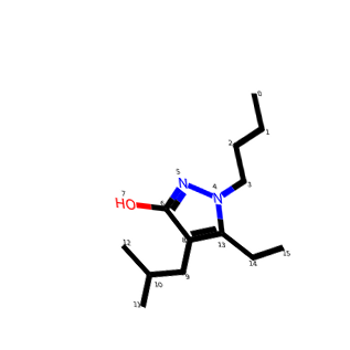 CCCCn1nc(O)c(CC(C)C)c1CC